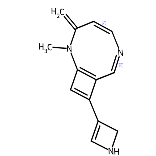 C=C1/C=C\N=C/C2=C(C=C2C2=CNC2)N1C